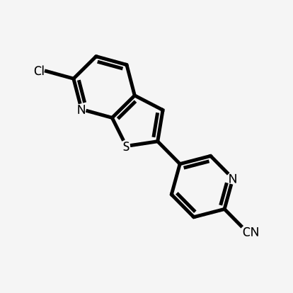 N#Cc1ccc(-c2cc3ccc(Cl)nc3s2)cn1